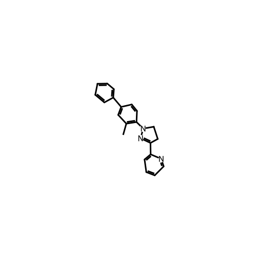 Cc1cc(-c2ccccc2)ccc1N1CCC(c2ccccn2)=N1